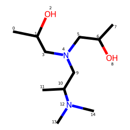 CC(O)CN(CC(C)O)CC(C)N(C)C